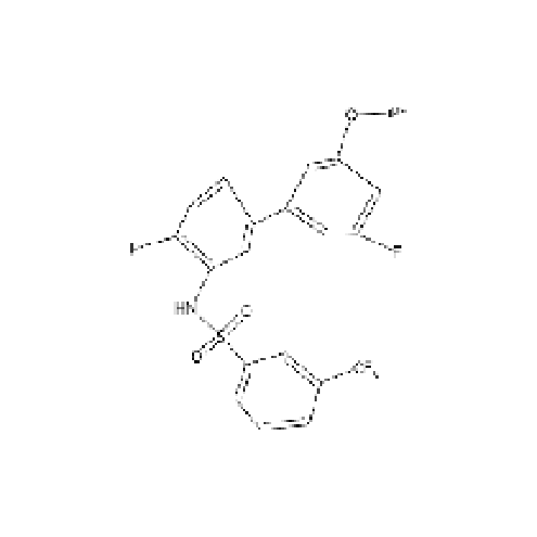 CC(C)Oc1cc(F)cc(-c2ccc(F)c(NS(=O)(=O)c3cccc(C(F)(F)F)c3)c2)c1